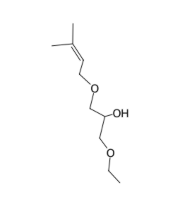 CCOCC(O)COCC=C(C)C